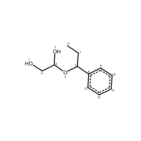 CCC(OC(O)CO)c1ccccc1